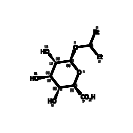 CCC(CC)O[C@H]1O[C@@H](C(=O)O)[C@H](O)[C@@H](O)[C@@H]1O